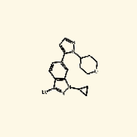 CCc1nn(C2CC2)c2cc(-c3ccnn3C3CCOCC3)ccc12